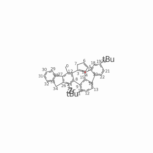 Cc1c(C2=CC=CC2)c(-c2c(C(C)(C)C)ccc3c2Cc2cc(C(C)(C)C)ccc2-3)[c]([Zr])c2c1-c1ccccc1C2